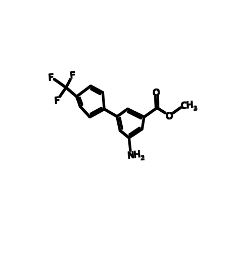 COC(=O)c1cc(N)cc(-c2ccc(C(F)(F)F)cc2)c1